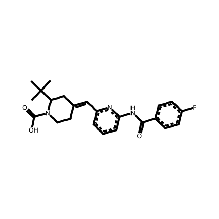 CC(C)(C)C1CC(=Cc2cccc(NC(=O)c3ccc(F)cc3)n2)CCN1C(=O)O